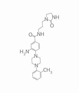 Cc1ccccc1N1CCN(c2ccc(C(=O)NCCCN3CCNC3=O)cc2N)CC1